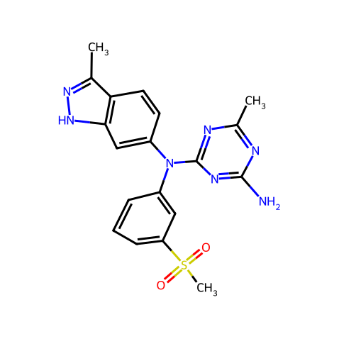 Cc1nc(N)nc(N(c2cccc(S(C)(=O)=O)c2)c2ccc3c(C)n[nH]c3c2)n1